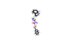 O=C(Nc1nnc(Sc2ccnc3ccccc23)s1)OCc1ccc2ccccc2c1